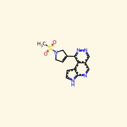 CS(=O)(=O)N1CC=C(c2nncc3cnc4[nH]ccc4c23)C1